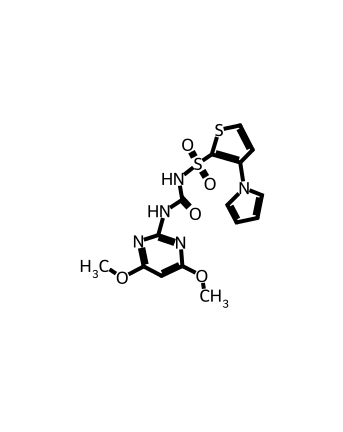 COc1cc(OC)nc(NC(=O)NS(=O)(=O)c2sccc2-n2cccc2)n1